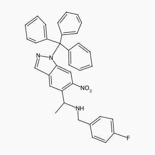 CC(NCc1ccc(F)cc1)c1cc2cnn(C(c3ccccc3)(c3ccccc3)c3ccccc3)c2cc1[N+](=O)[O-]